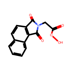 O=C(CN1C(=O)c2ccc3ccccc3c2C1=O)OO